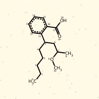 CCCCCC(CC(C)OC)c1ccccc1C(=O)O